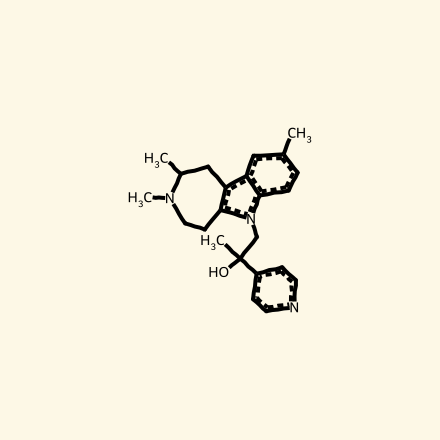 Cc1ccc2c(c1)c1c(n2CC(C)(O)c2ccncc2)CCN(C)C(C)C1